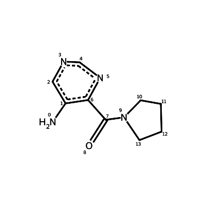 Nc1cncnc1C(=O)N1CCCC1